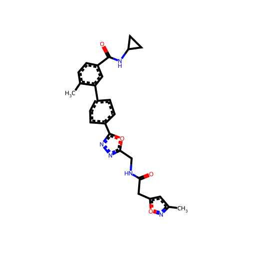 Cc1cc(CC(=O)NCc2nnc(-c3ccc(-c4cc(C(=O)NC5CC5)ccc4C)cc3)o2)on1